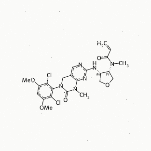 C=CC(=O)N(C)[C@@H]1COC[C@@H]1Nc1ncc2c(n1)N(C)C(=O)N(c1c(Cl)c(OC)cc(OC)c1Cl)C2